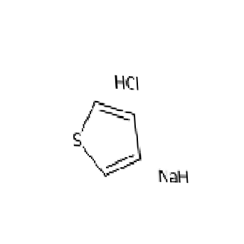 Cl.[NaH].c1ccsc1